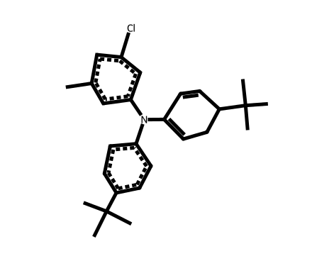 Cc1cc(Cl)cc(N(C2=CCC(C(C)(C)C)C=C2)c2ccc(C(C)(C)C)cc2)c1